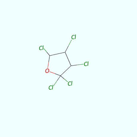 ClC1OC(Cl)(Cl)C(Cl)C1Cl